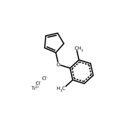 Cc1cccc(C)c1OC1=CC=CC1.[Cl-].[Cl-].[Ti+2]